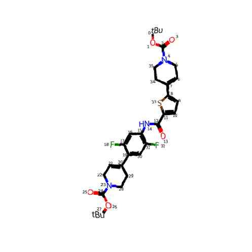 CC(C)(C)OC(=O)N1CC=C(c2ccc(C(=O)Nc3cc(F)c(C4=CCN(C(=O)OC(C)(C)C)CC4)cc3F)s2)CC1